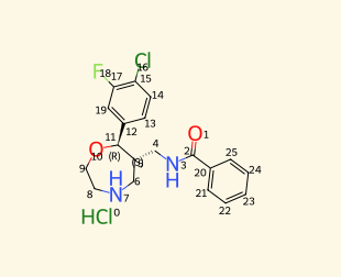 Cl.O=C(NC[C@@H]1CNCCO[C@H]1c1ccc(Cl)c(F)c1)c1ccccc1